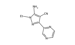 CCn1nc(-c2cnccn2)c(C#N)c1N